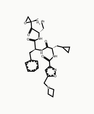 CC(C)C[C@H](NC(=O)[C@H](Cc1ccccc1)NC(=O)[C@H](CC1CC1)NC(=O)c1cc(CN2CCC2)on1)C(=O)[C@@]1(C)CO1